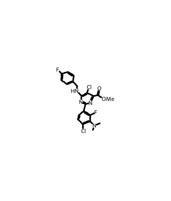 COC(=O)c1nc(-c2ccc(Cl)c(N(C)C)c2F)nc(NCc2ccc(F)cc2)c1Cl